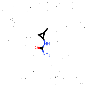 CC1CC1NC(N)=O